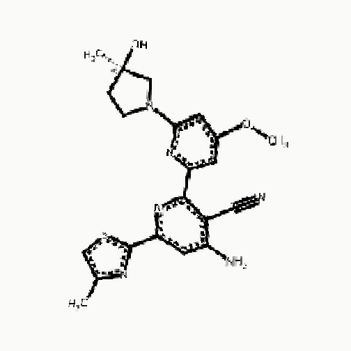 COc1cc(-c2nc(-c3nc(C)cs3)cc(N)c2C#N)nc(N2CC[C@@](C)(O)C2)c1